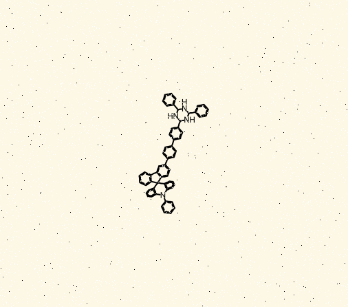 c1ccc(C2NC(c3ccccc3)NC(c3ccc(-c4ccc(-c5ccc6c(c5)-c5ccccc5C65c6ccccc6N(c6ccccc6)c6ccccc65)cc4)cc3)N2)cc1